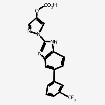 O=C(O)Oc1cnn(-c2nc3cc(-c4cccc(C(F)(F)F)c4)ccc3[nH]2)c1